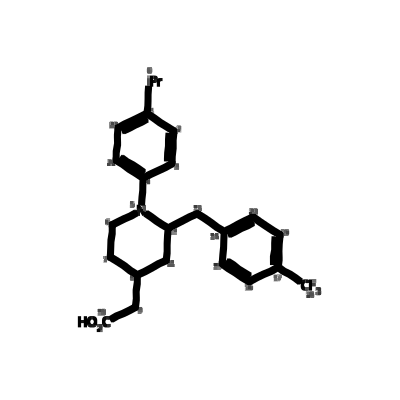 CC(C)c1ccc(N2CCC(CC(=O)O)CC2Cc2ccc(C(F)(F)F)cc2)cc1